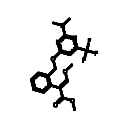 CO/C=C(/C(=O)OC)c1ccccc1COc1cc(C(F)(F)F)nc(N(C)C)n1